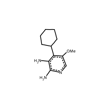 COc1cnc(N)c(N)c1C1CCCCC1